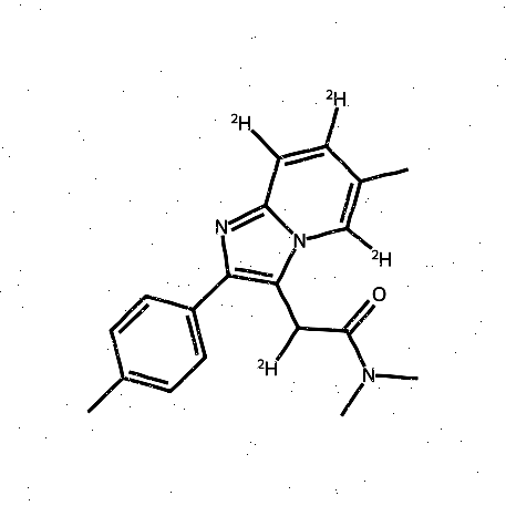 [2H]c1c(C)c([2H])n2c(C([2H])C(=O)N(C)C)c(-c3ccc(C)cc3)nc2c1[2H]